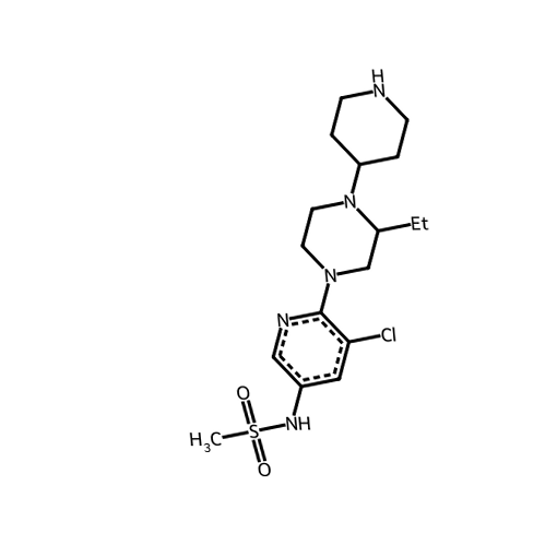 CCC1CN(c2ncc(NS(C)(=O)=O)cc2Cl)CCN1C1CCNCC1